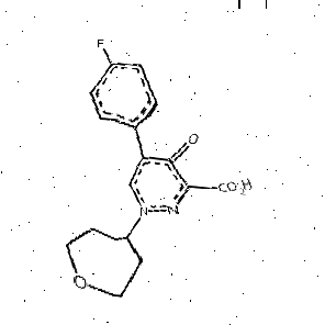 O=C(O)c1nn(C2CCOCC2)cc(-c2ccc(F)cc2)c1=O